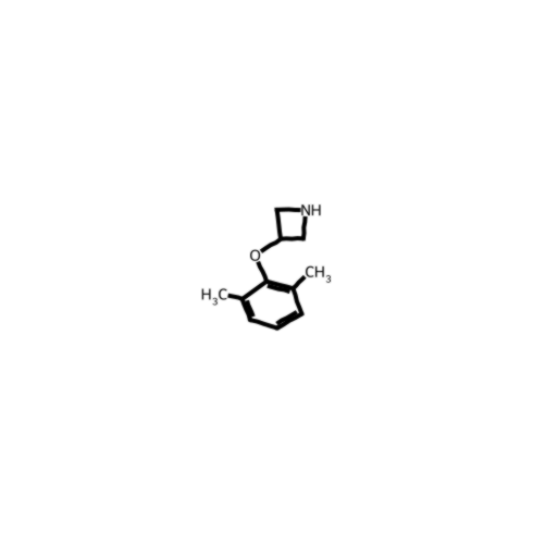 Cc1cccc(C)c1OC1CNC1